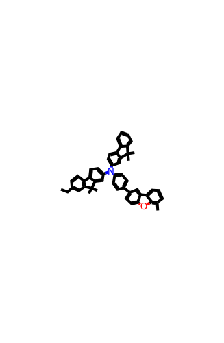 CCc1ccc2c(c1)C(C)(C)c1cc(N(c3ccc(-c4ccc5oc6c(C)cccc6c5c4)cc3)c3ccc4c(c3)C(C)(C)c3ccccc3-4)ccc1-2